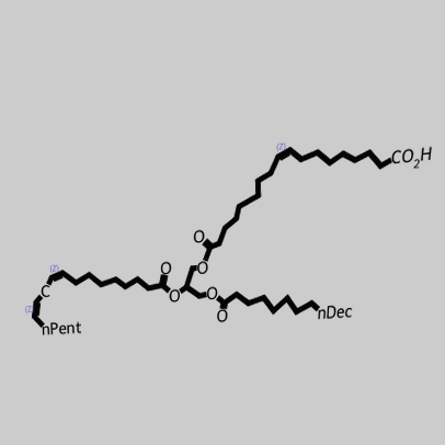 CCCCC/C=C\C/C=C\CCCCCCCC(=O)OC(COC(=O)CCCCCCC/C=C\CCCCCCCC(=O)O)COC(=O)CCCCCCCCCCCCCCCCC